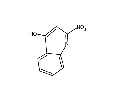 O=[N+]([O-])c1cc(O)c2ccccc2n1